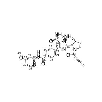 CC#CC(=O)N1CCCC1c1nc(-c2ccc(C(=O)Nc3cc(OC)ccn3)cc2)c(C(N)=O)n1N